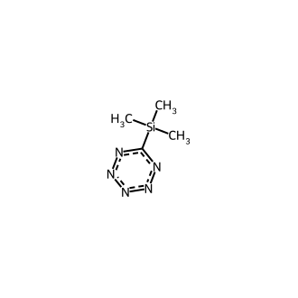 C[Si](C)(C)c1nnnnn1